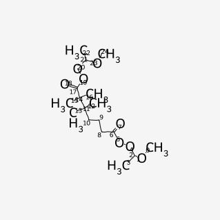 COC(C)OOC(=O)CCCC(C)(C)C(C)(C)C(=O)OOC(C)OC